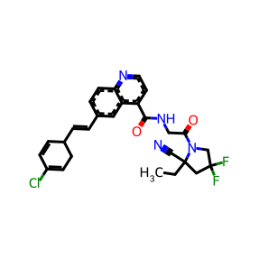 CCC1(C#N)CC(F)(F)CN1C(=O)CNC(=O)c1ccnc2ccc(/C=C/C3C=CC(Cl)=CC3)cc12